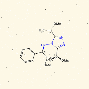 COC(OC)[C@H](Nn1c([C@H](C)OC)nnc1[C@H](C)OC)c1ccccc1